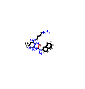 CC1CC(NCCCCN)NC(NC(=O)Nc2ccc3ccccc3c2)N1